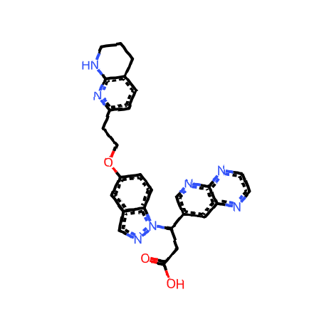 O=C(O)CC(c1cnc2nccnc2c1)n1ncc2cc(OCCc3ccc4c(n3)NCCC4)ccc21